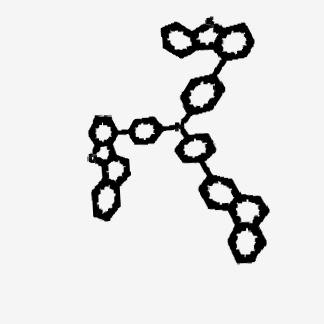 c1ccc2c(c1)ccc1cc(-c3ccc(N(c4ccc(-c5cccc6oc7c8ccccc8ccc7c56)cc4)c4ccc(-c5cccc6sc7ccccc7c56)cc4)cc3)ccc12